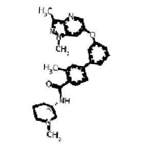 Cc1cc(-c2cccc(Oc3cnc4c(C)nn(C)c4c3)c2)ccc1C(=O)N[C@H]1CCCN(C)C1